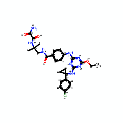 CC(C)(CNC(=O)c1ccc(Nc2nc(NC3(c4ccc(Cl)cc4)CC3)nc(OCC(F)(F)F)n2)cc1)NC(=O)C(N)=O